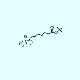 CC(C)(C)OC(=O)CCCCCCS(N)(=O)=O